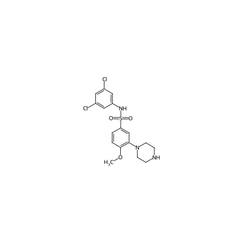 COc1ccc(S(=O)(=O)Nc2cc(Cl)cc(Cl)c2)cc1N1CCNCC1